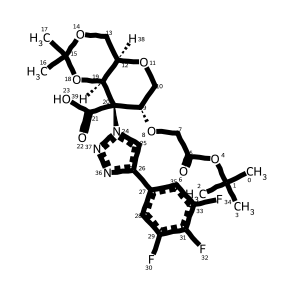 CC(C)(C)OC(=O)CO[C@H]1CO[C@@H]2COC(C)(C)O[C@@H]2[C@]1(C(=O)O)n1cc(-c2cc(F)c(F)c(F)c2)nn1